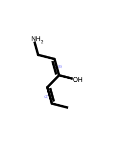 C/C=C\C(O)=C/CN